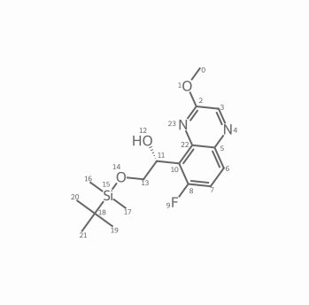 COc1cnc2ccc(F)c([C@@H](O)CO[Si](C)(C)C(C)(C)C)c2n1